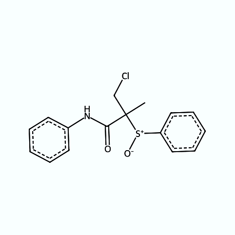 CC(CCl)(C(=O)Nc1ccccc1)[S+]([O-])c1ccccc1